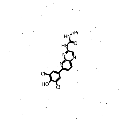 CCCNC(=O)Nc1cnc2ccc(-c3cc(Cl)c(O)c(Cl)c3)nc2n1